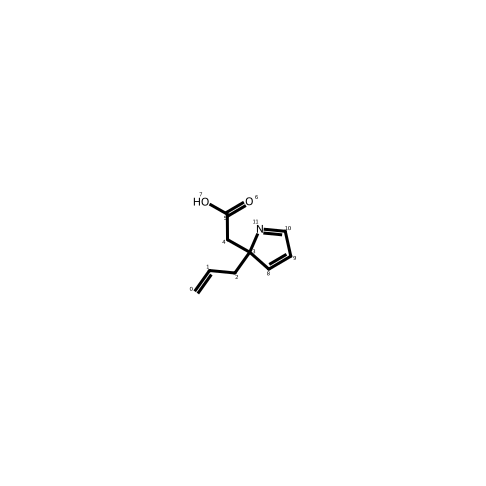 C=CCC1(CC(=O)O)C=CC=N1